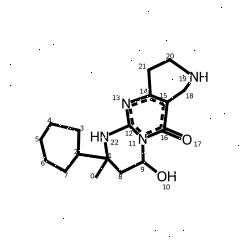 CC1(C2CCCCC2)CC(O)n2c(nc3c(c2=O)CNCC3)N1